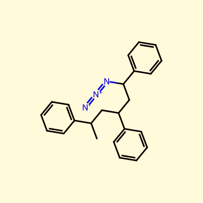 CC(CC(CC(N=[N+]=[N-])c1ccccc1)c1ccccc1)c1ccccc1